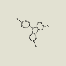 CCc1ccc(-n2c3ccc(Br)cc3c3cc(Br)ccc32)cc1